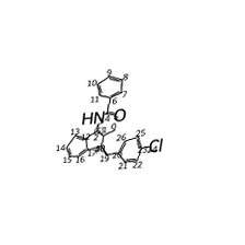 CC1[C@H](NC(=O)c2ccccc2)c2ccccc2[C@@H]1Cc1ccc(Cl)cc1